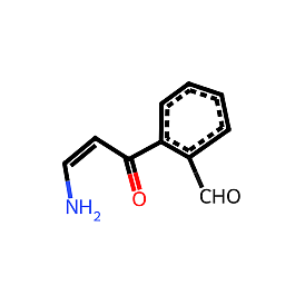 N/C=C\C(=O)c1ccccc1C=O